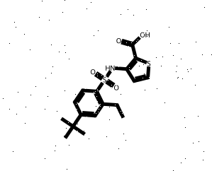 CCc1cc(C(C)(C)C)ccc1S(=O)(=O)Nc1ccsc1C(=O)O